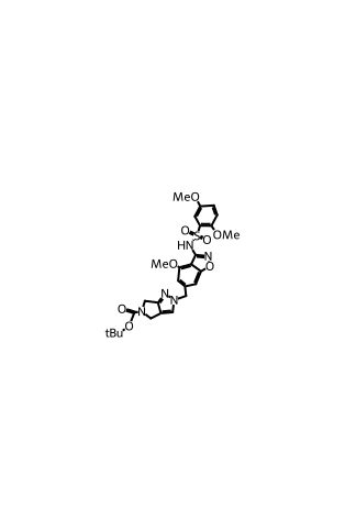 COc1ccc(OC)c(S(=O)(=O)Nc2noc3cc(Cn4cc5c(n4)CN(C(=O)OC(C)(C)C)C5)cc(OC)c23)c1